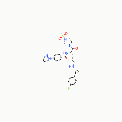 CS(=O)(=O)N1CCN(C(=O)[C@H](CCCN[C@@H]2C[C@H]2c2ccc(F)cc2)NC(=O)c2ccc(-n3cccn3)cc2)CC1